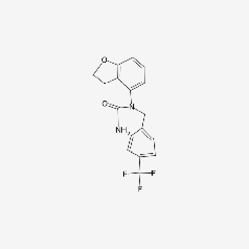 NC(=O)N(Cc1ccc(C(F)(F)F)cc1)c1cccc2c1CCO2